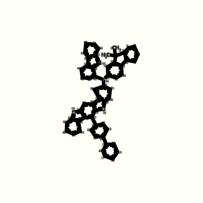 CC1(C)c2ccccc2-c2ccc(N(c3ccc4oc5c(-c6ccc(-c7ccccc7)cc6)c6c(cc5c4c3)oc3ccccc36)c3cccc4c3sc3ccccc34)cc21